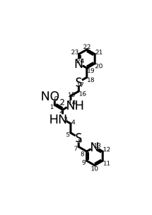 O=[N+]([O-])C=C(NCCSCc1ccccn1)NCCSCc1ccccn1